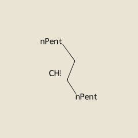 CCCCCCCCCCCC.[CH]